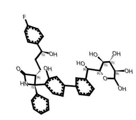 O=C1N[C@@](c2ccccc2)(c2ccc(-c3cccc([C@@H](O)[C@H]4OC(O)[C@H](O)[C@@H](O)[C@@H]4O)c3)cc2O)[C@H]1CC[C@H](O)c1ccc(F)cc1